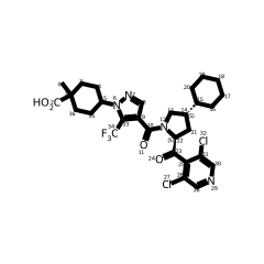 CC1(C(=O)O)CCC(n2ncc(C(=O)N3C[C@H](C4CCCCC4)C[C@H]3C(=O)c3c(Cl)cncc3Cl)c2C(F)(F)F)CC1